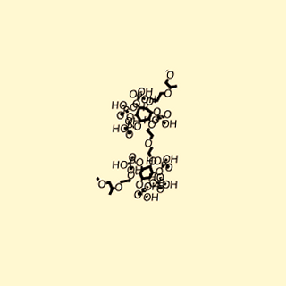 COCC(C)OCCO[C@@H]1[C@@H](OP(=O)(O)O)[C@@H](OCCOCCO[C@@H]2[C@H](OP(=O)(O)O)[C@@H](OCCOC(C)COC)[C@H](OP(=O)(O)O)[C@@H](OP(=O)(O)O)[C@@H]2OP(=O)(O)O)[C@@H](OP(=O)(O)O)[C@H](OP(=O)(O)O)[C@H]1OP(=O)(O)O